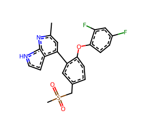 Cc1cc(-c2cc(CS(C)(=O)=O)ccc2Oc2ccc(F)cc2F)c2cc[nH]c2n1